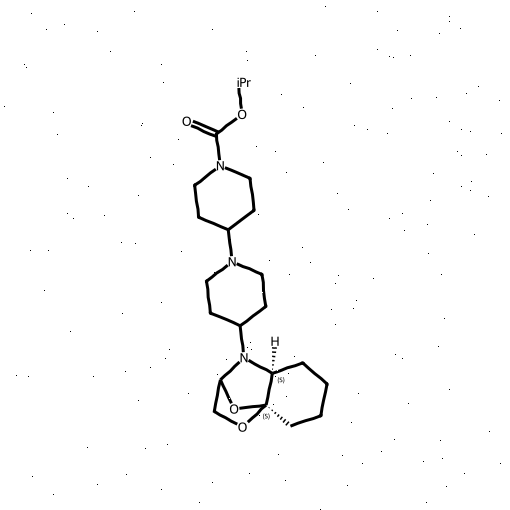 CC(C)OC(=O)N1CCC(N2CCC(N3C4CO[C@@]5(CCCC[C@H]35)O4)CC2)CC1